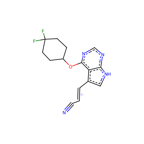 N#C/C=C/c1c[nH]c2ncnc(OC3CCC(F)(F)CC3)c12